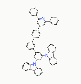 c1ccc(-c2cc(-c3ccc(-c4cccc(-c5cc(-n6c7ccccc7c7ccccc76)cc(-n6c7ccccc7c7ccccc76)c5)c4)cc3)cc(-c3ccccc3)n2)cc1